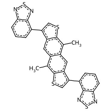 Cc1c2cc3c(-c4cccc5nsnc45)csc3c(C)c2cc2c(-c3cccc4nsnc34)csc12